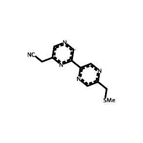 CSCc1cnc(-c2[c]ncc(CC#N)n2)cn1